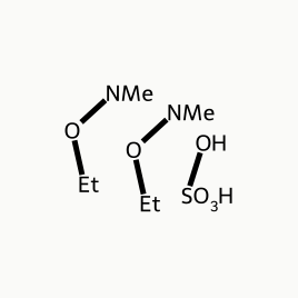 CCONC.CCONC.O=S(=O)(O)O